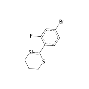 Fc1cc(Br)ccc1C1=[S+]CCCS1